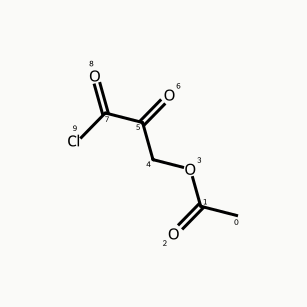 CC(=O)OCC(=O)C(=O)Cl